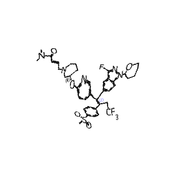 CN(C)C(=O)C=CCN1CCC[C@@H](Oc2ccc(/C(=C(/CC(F)(F)F)c3ccc(S(C)(=O)=O)cc3)c3ccc4c(c3)c(F)nn4C3CCCCO3)cn2)C1